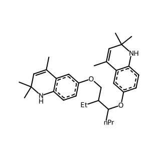 CCCC(Oc1ccc2c(c1)C(C)=CC(C)(C)N2)C(CC)COc1ccc2c(c1)C(C)=CC(C)(C)N2